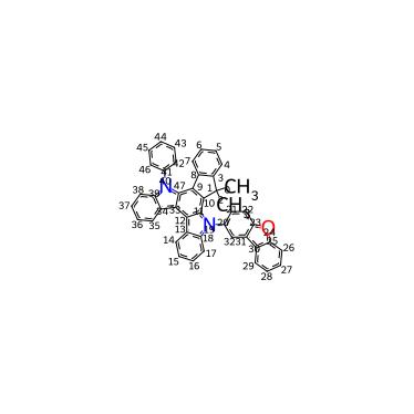 CC1(C)c2ccccc2-c2c1c1c(c3ccccc3n1-c1ccc3oc4ccccc4c3c1)c1c3ccccc3n(-c3ccccc3)c21